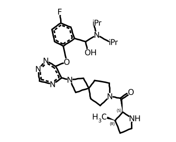 CC(C)N(C(C)C)C(O)c1cc(F)ccc1Oc1nncnc1N1CC2(CCN(C(=O)[C@H]3NCC[C@H]3C)CC2)C1